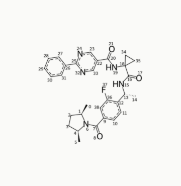 C[C@@H]1CC[C@H](C)N1C(=O)c1ccc([C@@H](C)NC(=O)C2(NC(=O)c3cnc(-c4ccccc4)nc3)CC2)c(F)c1